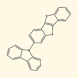 c1ccc2c(c1)sc1c3ccc(-n4c5ccccc5c5ccccc54)cc3sc21